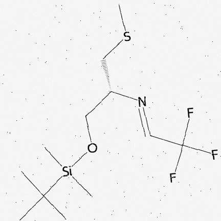 CSC[C@@H](CO[Si](C)(C)C(C)(C)C)N=CC(F)(F)F